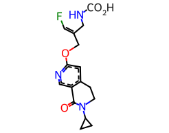 O=C(O)NCC(=CF)COc1cc2c(cn1)C(=O)N(C1CC1)CC2